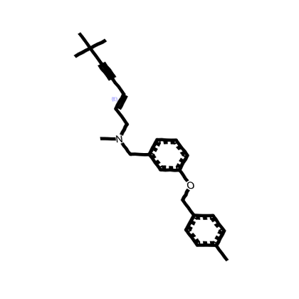 Cc1ccc(COc2cccc(CN(C)C/C=C/C#CC(C)(C)C)c2)cc1